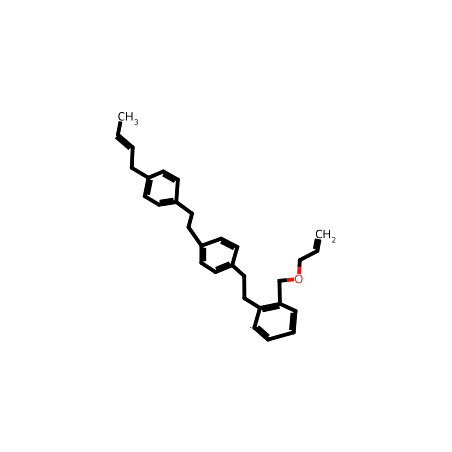 C=CCOCc1ccc[c]c1CCc1ccc(CCc2ccc(CC=CC)cc2)cc1